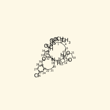 C[C@@H]1[C@@H](C)C/C=C/[C@@]2(COCCO2)[C@@H]2CC[C@H]2CN2CCCCc3cc(Cl)ccc3COc3ccc(cc32)C(=O)NS1(=O)=O